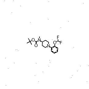 CN(C(=O)OC(C)(C)C)C1CCN(c2ccccc2OC(F)F)CC1